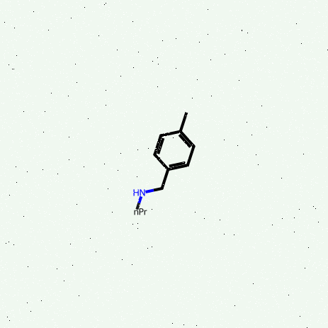 CCCNCc1ccc(C)cc1